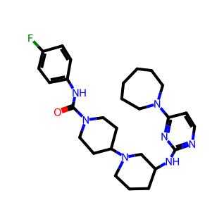 O=C(Nc1ccc(F)cc1)N1CCC(N2CCCC(Nc3nccc(N4CCCCCC4)n3)C2)CC1